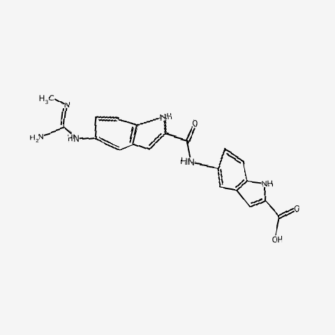 CN=C(N)Nc1ccc2[nH]c(C(=O)Nc3ccc4[nH]c(C(=O)O)cc4c3)cc2c1